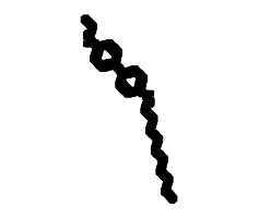 CCCCCCCCCCSc1ccc(-c2ccc(SCC)cc2)cc1